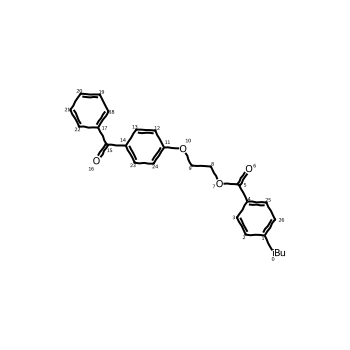 CCC(C)c1ccc(C(=O)OCCOc2ccc(C(=O)c3ccccc3)cc2)cc1